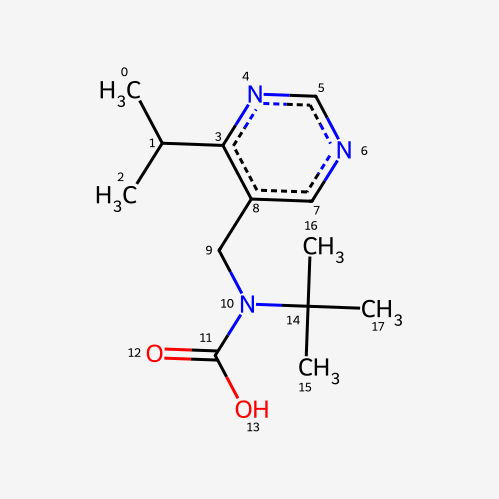 CC(C)c1ncncc1CN(C(=O)O)C(C)(C)C